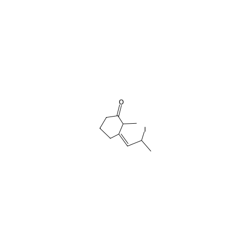 CC(I)/C=C1/CCCC(=O)C1C